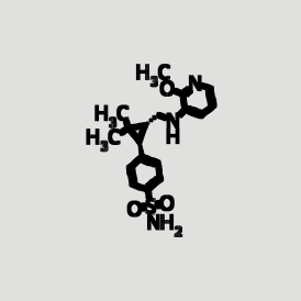 COc1ncccc1NC[C@@H]1[C@@H](c2ccc(S(N)(=O)=O)cc2)C1(C)C